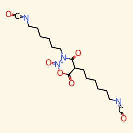 O=C=NCCCCCCC1C(=O)O[N+](=O)N(CCCCCCN=C=O)C1=O